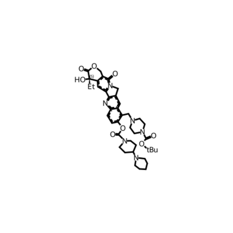 CC[C@@]1(O)C(=O)OCc2c1cc1n(c2=O)Cc2cc3c(CN4CCN(C(=O)OC(C)(C)C)CC4)c(OC(=O)N4CCC(N5CCCCC5)CC4)ccc3nc2-1